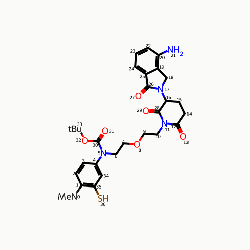 CNc1ccc(N(CCOCCN2C(=O)CCC(N3Cc4c(N)cccc4C3=O)C2=O)C(=O)OC(C)(C)C)cc1S